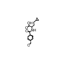 O=Cc1ccc(C(=O)NC(CCC2CC2)C(=O)O)cc1